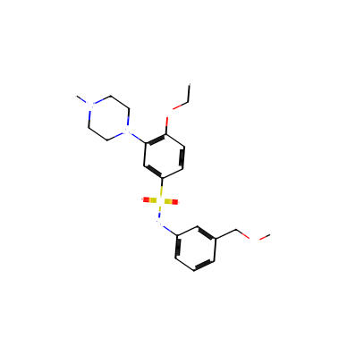 CCOc1ccc(S(=O)(=O)Nc2cccc(COC)c2)cc1N1CCN(C)CC1